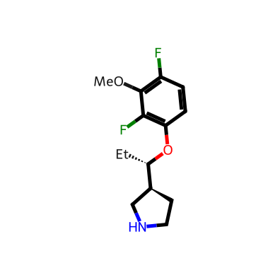 CC[C@H](Oc1ccc(F)c(OC)c1F)[C@H]1CCNC1